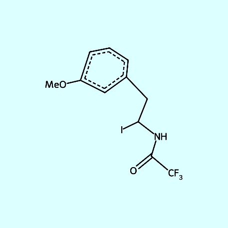 COc1cccc(CC(I)NC(=O)C(F)(F)F)c1